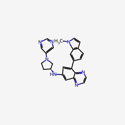 Cn1ccc2ccc(-c3cc(N[C@H]4CCN(c5cncnc5)C4)cc4nccnc34)cc21